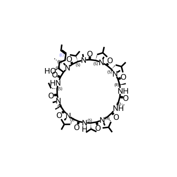 C/C=C/C[C@@H](C)[C@@H](O)C1C(=O)N[C@@H](CC)C(=O)N(C)[C@H](C)C(=O)N(C)[C@@H](CC(C)C)C(=O)N[C@@H](C(C)C)C(=O)N(C)[C@@H](CC(C)C)C(=O)N[C@@H](C)C(=O)N[C@H](C)C(=O)N(C)[C@@H](CC(C)C)C(=O)N(C)[C@@H](CC(C)C)C(=O)N(C)[C@@H](C(C)C)C(=O)N1C